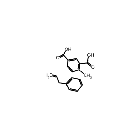 C=CCc1ccccc1.Cc1ccc(C(=O)O)cc1C(=O)O